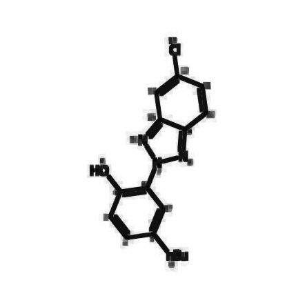 CCCCc1ccc(O)c(-n2nc3ccc(Cl)cc3n2)c1